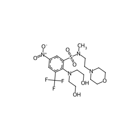 CN(CCN1CCOCC1)S(=O)(=O)c1cc([N+](=O)[O-])cc(C(F)(F)F)c1N(CCO)CCO